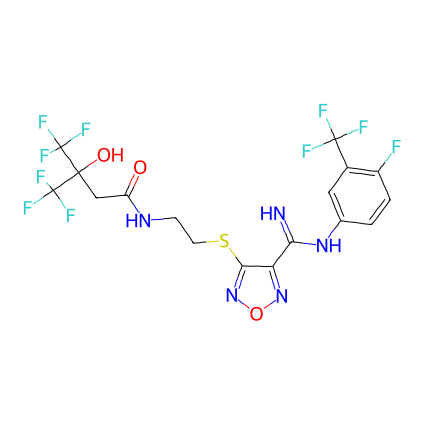 N=C(Nc1ccc(F)c(C(F)(F)F)c1)c1nonc1SCCNC(=O)CC(O)(C(F)(F)F)C(F)(F)F